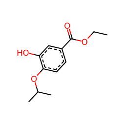 CCOC(=O)c1ccc(OC(C)C)c(O)c1